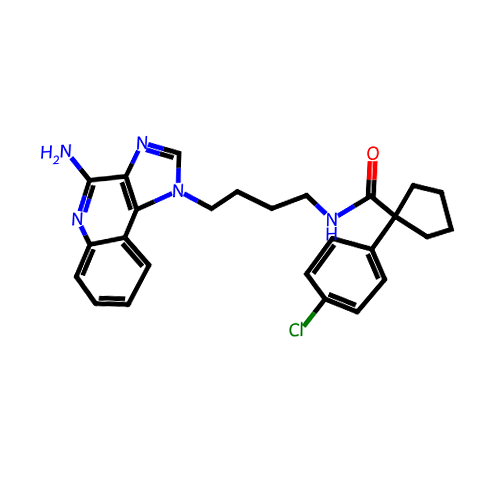 Nc1nc2ccccc2c2c1ncn2CCCCNC(=O)C1(c2ccc(Cl)cc2)CCCC1